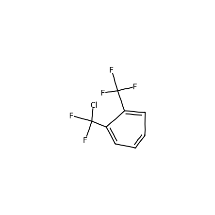 FC(F)(F)c1ccccc1C(F)(F)Cl